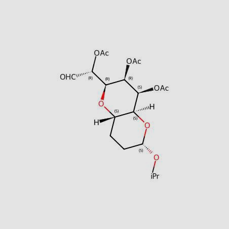 CC(=O)O[C@@H]1[C@H](OC(C)=O)[C@H]([C@H](C=O)OC(C)=O)O[C@H]2CC[C@@H](OC(C)C)O[C@H]12